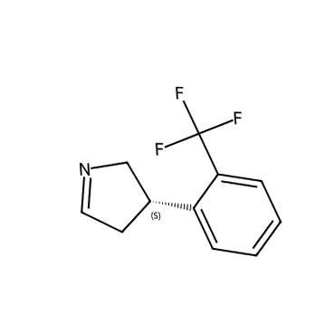 FC(F)(F)c1ccccc1[C@@H]1CC=NC1